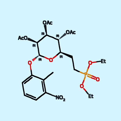 CCOP(=O)(CC[C@H]1O[C@H](Oc2cccc([N+](=O)[O-])c2C)[C@@H](OC(C)=O)[C@@H](OC(C)=O)[C@@H]1OC(C)=O)OCC